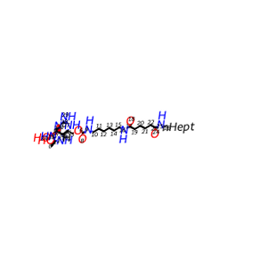 C=C1N[C@H]2[C@H](COC(=O)NCCCCCCNC(=O)CCCCC(=O)NCCCCCCC)NC(=N)N3CCC(O)(O)[C@]23N1